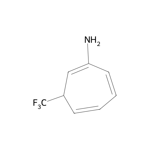 NC1=CC(C(F)(F)F)C=CC=C1